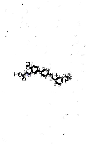 COc1ccc(-c2ccc(NCc3cccc(OC(F)(F)F)c3)nc2)cc1/C=C/C(=O)O